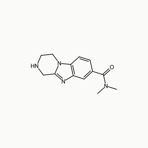 CN(C)C(=O)c1ccc2c(c1)nc1n2CCNC1